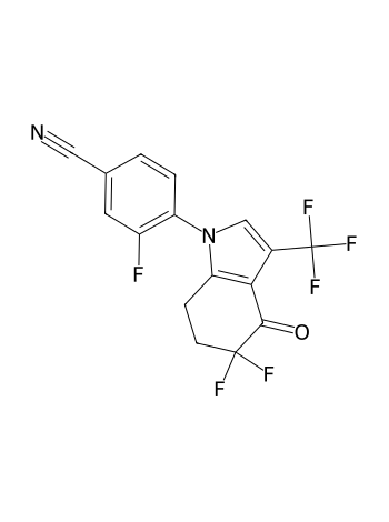 N#Cc1ccc(-n2cc(C(F)(F)F)c3c2CCC(F)(F)C3=O)c(F)c1